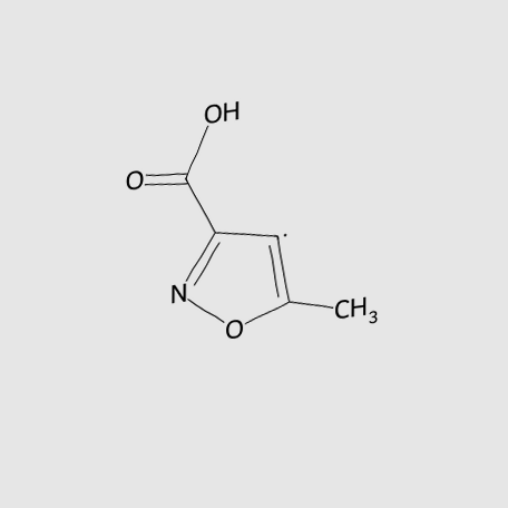 Cc1[c]c(C(=O)O)no1